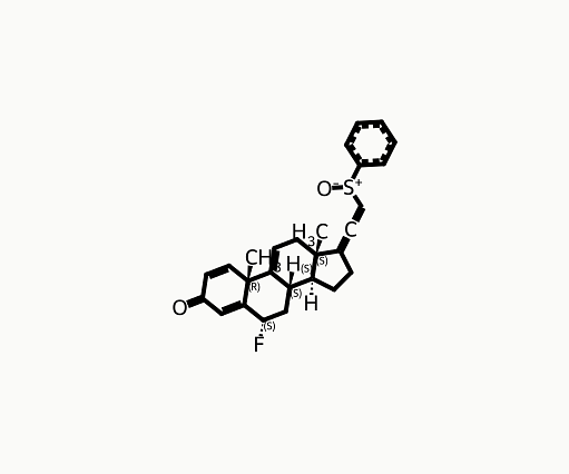 C[C@]12C=CC(=O)C=C1[C@@H](F)C[C@@H]1C2=CC[C@]2(C)C(=C=C[S+]([O-])c3ccccc3)CC[C@@H]12